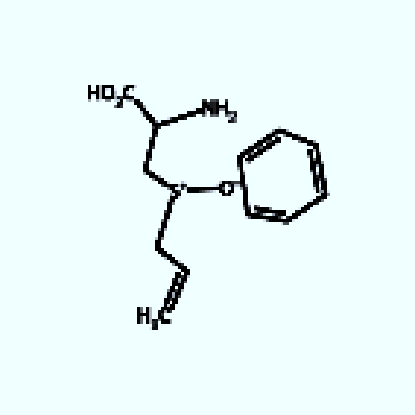 C=CC[S+]([O-])CC(N)C(=O)O.c1ccccc1